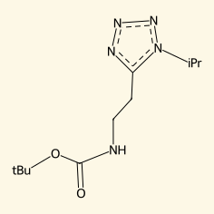 CC(C)n1nnnc1CCNC(=O)OC(C)(C)C